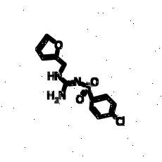 N/C(=N\S(=O)(=O)c1ccc(Cl)cc1)NCc1ccco1